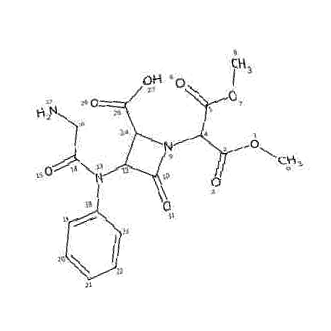 COC(=O)C(C(=O)OC)N1C(=O)C(N(C(=O)CN)c2ccccc2)C1C(=O)O